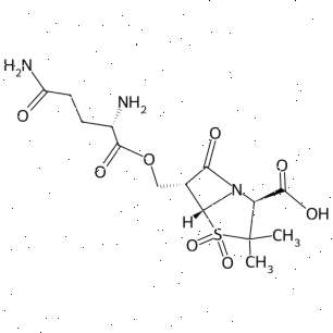 CC1(C)[C@H](C(=O)O)N2C(=O)[C@@H](COC(=O)[C@@H](N)CCC(N)=O)[C@H]2S1(=O)=O